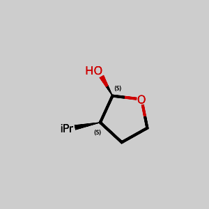 CC(C)[C@@H]1CCO[C@@H]1O